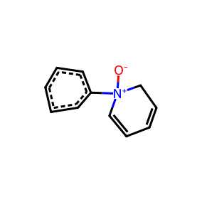 [O-][N+]1(c2ccccc2)C=CC=CC1